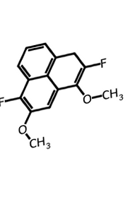 COC1=C(F)Cc2cccc3c(F)c(OC)cc1c23